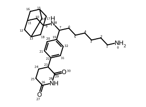 NCCCCCCC(NC12CC3CC(CC(C3)C1)C2)c1ccc(C2CCC(=O)NC2=O)cc1